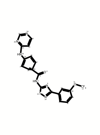 O=C(Nc1nc(-c2cccc(OC(F)(F)F)c2)ns1)c1ccc(Nc2ccncn2)cc1